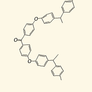 Cc1ccc(C(C)c2ccc(Oc3ccc(C(=O)c4ccc(Oc5ccc(C(C)c6ccc(C)cc6)cc5)cc4)cc3)cc2)cc1